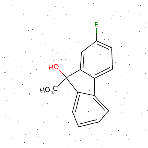 O=C(O)C1(O)c2ccccc2-c2ccc(F)cc21